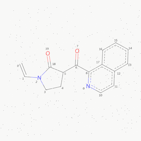 C=CN1CCC(C(=O)c2nccc3ccccc23)C1=O